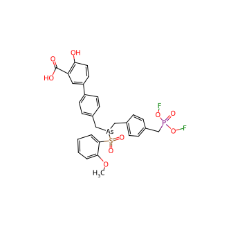 COc1ccccc1S(=O)(=O)[As](Cc1ccc(CP(=O)(OF)OF)cc1)Cc1ccc(-c2ccc(O)c(C(=O)O)c2)cc1